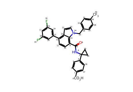 O=C(O)c1ccc(C2(NC(=O)c3ccc(-c4cc(F)cc(F)c4)c4ccn(Cc5ccc(C(F)(F)F)cc5)c34)CC2)cc1